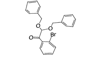 O=C(c1ccccc1Br)C(OCc1ccccc1)OCc1ccccc1